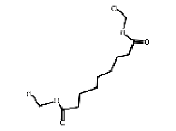 O=C(CCCCCCCC(=O)OCCl)OCCl